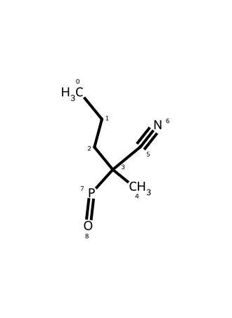 CCCC(C)(C#N)P=O